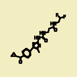 Cc1nc(NC(=O)NCCC(=O)NCC(F)F)sc1-c1ccc(C(=O)C2CC2)cc1